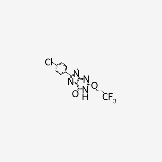 Cn1c(-c2ccc(Cl)cc2)nc2c(=O)[nH]c(OCCC(F)(F)F)nc21